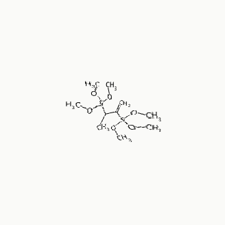 C=C(C(C)[Si](OC)(OC)OC)[Si](OC)(OC)OC